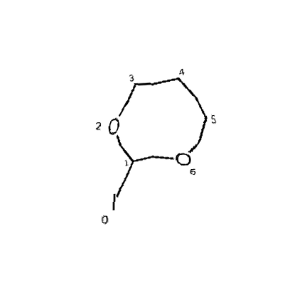 IC1OCCCO1